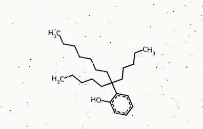 CCCCCCCC(CCCCC)(CCCCC)c1ccccc1O